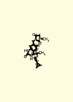 CN1CC(=O)N(Cc2cc3c(cc2F)[C@@](C#CC2CC2)(C(C)(F)F)NC(=O)N3)C1=O